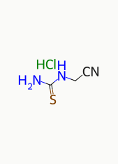 Cl.N#CCNC(N)=S